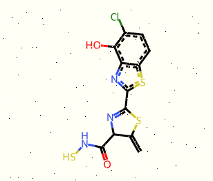 C=C1SC(c2nc3c(O)c(Cl)ccc3s2)=NC1C(=O)NS